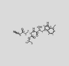 Cc1cccc2c(C[C@H](O)C(=O)N[C@@H](CCC(=O)C=[N+]=[N-])C(=O)OC(C)C)c[nH]c12